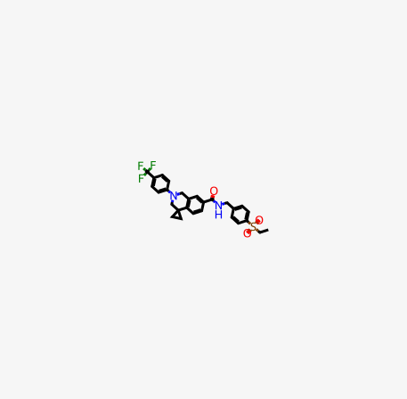 CCS(=O)(=O)c1ccc(CNC(=O)c2ccc3c(c2)CN(c2ccc(C(F)(F)F)cc2)CC32CC2)cc1